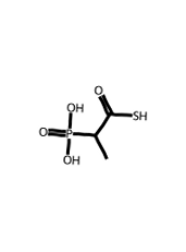 CC(C(=O)S)P(=O)(O)O